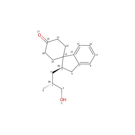 C[C@@H](CO)C[C@@H]1Cc2ccccc2C12CCC(=O)CC2